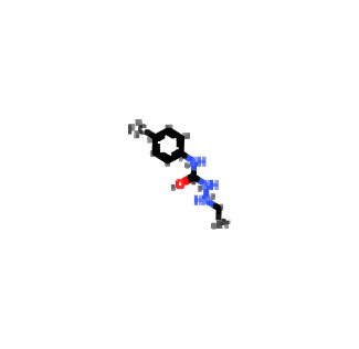 CC(C)CNNC(=O)Nc1ccc(C(F)(F)F)cc1